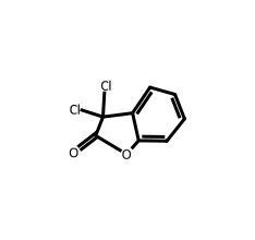 O=C1Oc2ccccc2C1(Cl)Cl